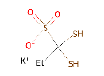 CCC(S)(S)S(=O)(=O)[O-].[K+]